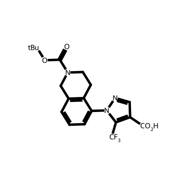 CC(C)(C)OC(=O)N1CCc2c(cccc2-n2ncc(C(=O)O)c2C(F)(F)F)C1